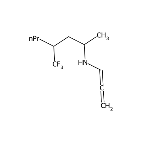 C=C=CNC(C)CC(CCC)C(F)(F)F